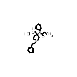 CCC(=O)N(c1ccccc1)C1(CO)CCN(CCc2ccccc2)CC1.Cl